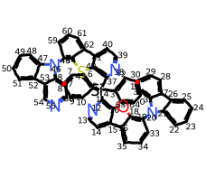 c1ccc([Si](c2ccccc2)(c2nccc3c2oc2c(-n4c5ccccc5c5ccccc54)cccc23)c2nccc3c2sc2c(-n4c5ccccc5c5cnccc54)cccc23)cc1